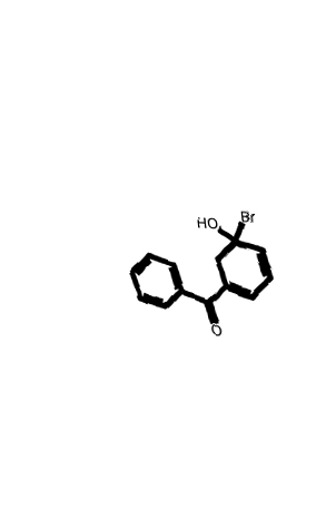 O=C(C1=CC=CC(O)(Br)C1)c1ccccc1